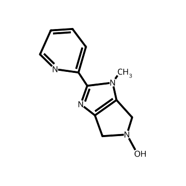 Cn1c(-c2ccccn2)nc2c1CN(O)C2